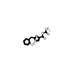 Cn1cc(C(=O)OC(=O)C(F)(F)F)nc1Cc1ccccc1